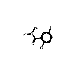 CC(C)N(C(=O)c1cc(F)ccc1[O])C(C)C